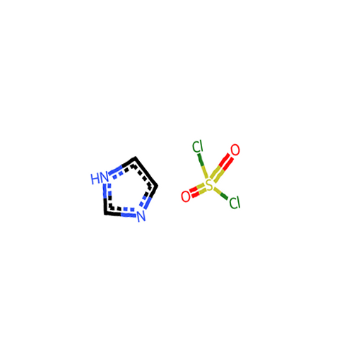 O=S(=O)(Cl)Cl.c1c[nH]cn1